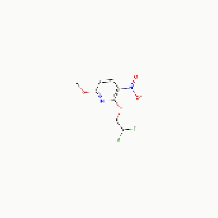 COc1ccc([N+](=O)[O-])c(OCC(F)F)n1